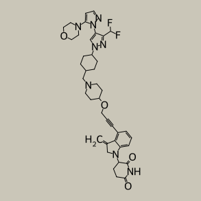 C=C1CN(C2CCC(=O)NC2=O)c2cccc(C#CCOC3CCN(CC4CCC(n5cc(-n6nccc6N6CCOCC6)c(C(F)F)n5)CC4)CC3)c21